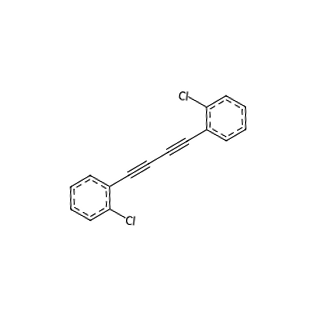 Clc1ccccc1C#CC#Cc1ccccc1Cl